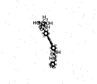 C[C@@H](O)[C@H](NC(=O)c1ccc(C#CC#Cc2ccc(NC(=O)CNCc3ccncc3)cc2)cc1)C(=O)NO